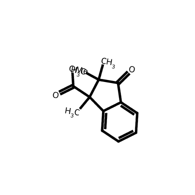 COC(=O)C1(C)c2ccccc2C(=O)C1(C)C